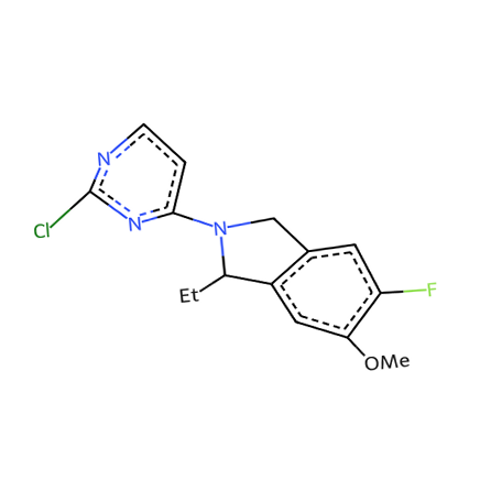 CCC1c2cc(OC)c(F)cc2CN1c1ccnc(Cl)n1